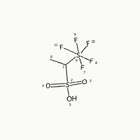 CC(S(=O)(=O)O)S(F)(F)(F)(F)F